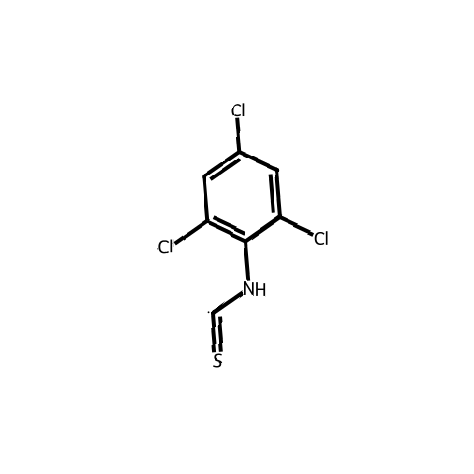 S=[C]Nc1c(Cl)cc(Cl)cc1Cl